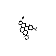 C#C[C@H]1CCC2C3CCC4CC5(CCC4=C3C(c3ccc(N(C)C)cc3)CC21)OCCO5